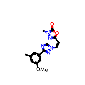 COc1cc(C)cc(-c2ncn(/C=C\c3nn(C)c(=O)o3)n2)c1